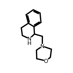 c1ccc2c(c1)CCNC2CN1CCOCC1